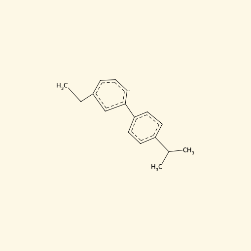 CCc1cc[c]c(-c2ccc(C(C)C)cc2)c1